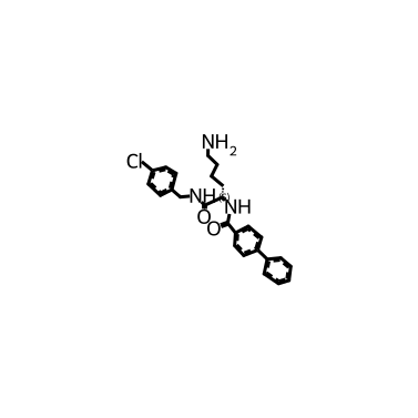 NCCCC[C@H](NC(=O)c1ccc(-c2ccccc2)cc1)C(=O)NCc1ccc(Cl)cc1